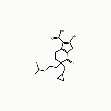 Nc1sc2c(c1C(=O)O)CCC(CCOC(F)F)(CC1CC1)C2=O